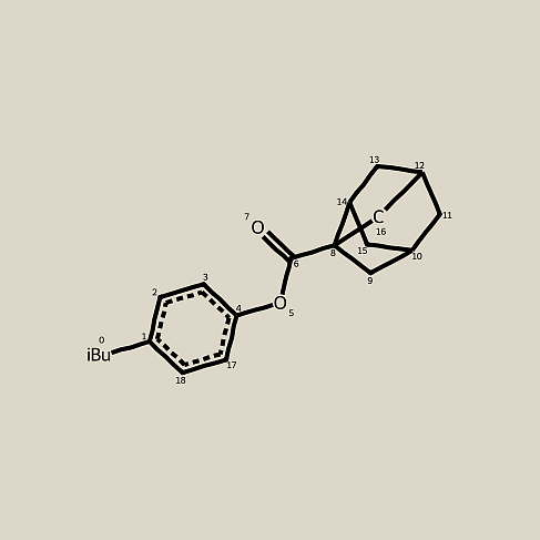 CCC(C)c1ccc(OC(=O)C23CC4CC(CC2C4)C3)cc1